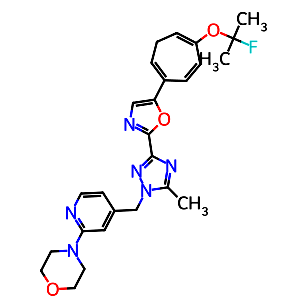 Cc1nc(-c2ncc(C3=CCC=C(OC(C)(C)F)C=C3)o2)nn1Cc1ccnc(N2CCOCC2)c1